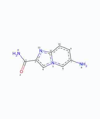 NC(=O)c1cn2cc(N)ccc2n1